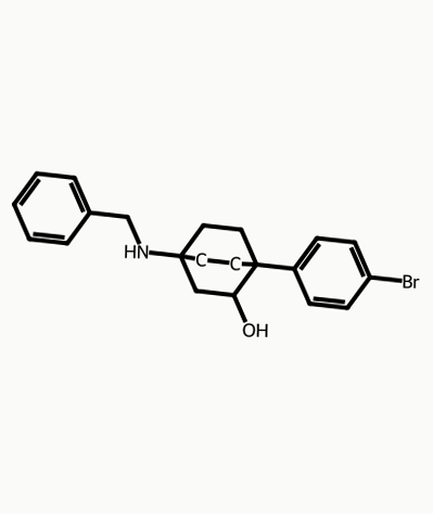 OC1CC2(NCc3ccccc3)CCC1(c1ccc(Br)cc1)CC2